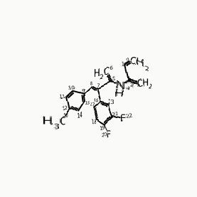 C=CC(=C)NC(=C)/C(=C/c1ccc(C)cc1)c1ccc(F)c(F)c1